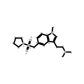 CN(C)CCc1cn(C)c2ccc(CS(=O)(=O)N3CCCC3)cc12